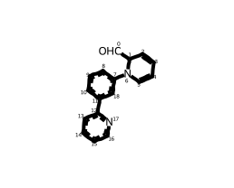 O=CC1C=CC=CN1c1cccc(-c2ccccn2)c1